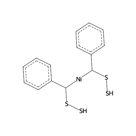 SS[CH]([Ni][CH](SS)c1ccccc1)c1ccccc1